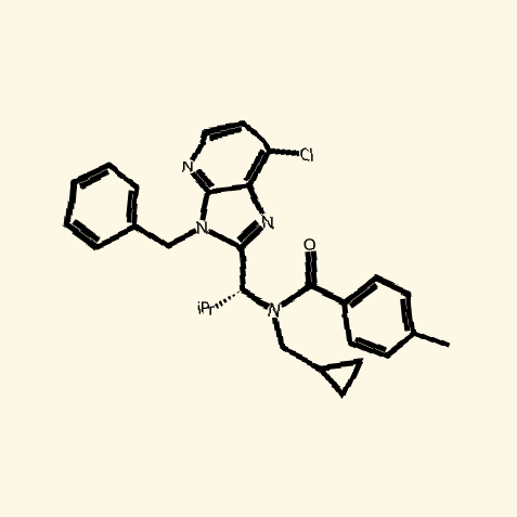 Cc1ccc(C(=O)N(CC2CC2)[C@@H](c2nc3c(Cl)ccnc3n2Cc2ccccc2)C(C)C)cc1